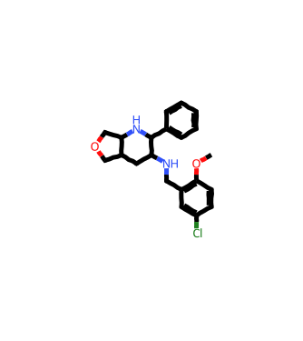 COc1ccc(Cl)cc1CNC1CC2COCC2NC1c1ccccc1